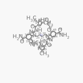 CCn1nc(C)cc1C(=O)Nc1nc2cc(C(N)=O)cc(CN)c2n1C/C=C/Cn1c(NC(=O)c2cc(C)nn2CC)nc2cc(C(N)=O)cc(OCCCO)c21